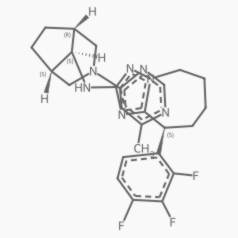 Cc1cc(N2C[C@H]3CC[C@@H](C2)[C@@H]3Nc2nc3n(n2)CCCC[C@H]3c2ccc(F)c(F)c2F)ncn1